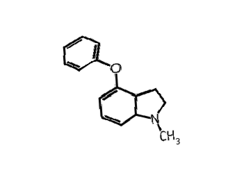 CN1CCC2C(Oc3ccccc3)=CC=CC21